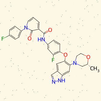 C[C@@H]1CN(c2cc3[nH]ncc3cc2Oc2ccc(NC(=O)c3cccn(-c4ccc(F)cc4)c3=O)cc2F)CCO1